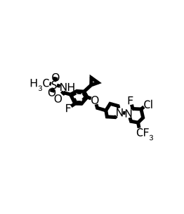 CS(=O)(=O)NC(=O)c1cc(C2CC2)c(OCC2CCN(N3CC(C(F)(F)F)CC(Cl)C3F)CC2)cc1F